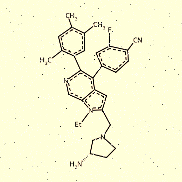 CCn1c(CN2CC[C@H](N)C2)cc2c(-c3ccc(C#N)c(F)c3)c(-c3cc(C)c(C)cc3C)ncc21